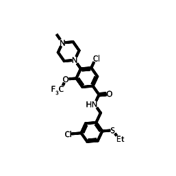 CCSc1ccc(Cl)cc1CNC(=O)c1cc(Cl)c(N2CCN(C)CC2)c(OC(F)(F)F)c1